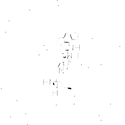 C#CCCC1(CCn2ccc(S(=O)(=O)NC(=O)Nc3c4c(cc5c3CCC5)CCC4)n2)NN1